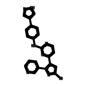 CCn1cc(-c2ccnc(Nc3ccc(-c4cn[nH]c4)cc3)n2)c(-c2cccnc2)n1